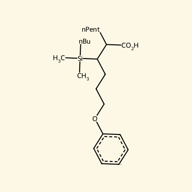 CCCCCC(C(=O)O)C(CCCOc1cc[c]cc1)[Si](C)(C)CCCC